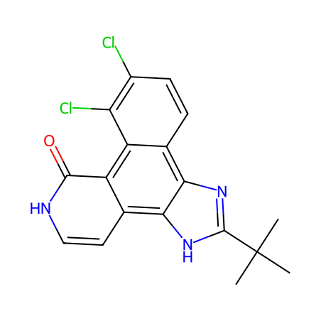 CC(C)(C)c1nc2c3ccc(Cl)c(Cl)c3c3c(=O)[nH]ccc3c2[nH]1